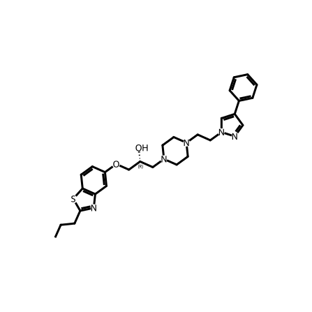 CCCc1nc2cc(OC[C@H](O)CN3CCN(CCn4cc(-c5ccccc5)cn4)CC3)ccc2s1